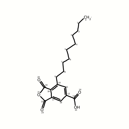 [CH2]CCCCCCCCCc1cc(C(=O)O)cc2c1C(=O)OC2=O